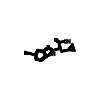 O=C(O)N(CC1CC1)c1nc2cc(Br)ccc2[nH]1